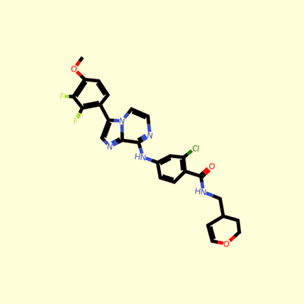 COc1ccc(-c2cnc3c(Nc4ccc(C(=O)NCC5C=COCC5)c(Cl)c4)nccn23)c(F)c1F